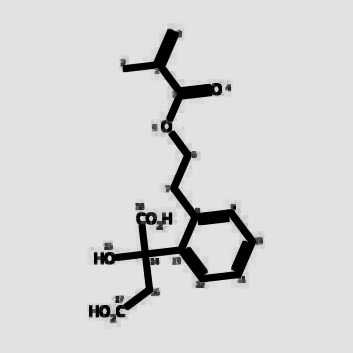 C=C(C)C(=O)OCCc1ccccc1C(O)(CC(=O)O)C(=O)O